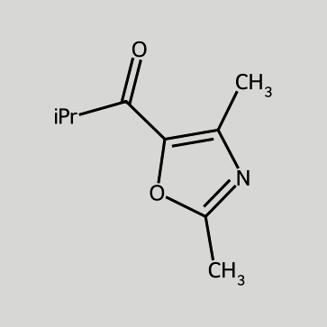 Cc1nc(C)c(C(=O)C(C)C)o1